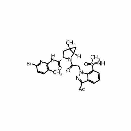 CC(=O)c1nn(CC(=O)N2[C@H]3C[C@@]3(C)C[C@H]2C(=O)Nc2nc(Br)ccc2C)c2c(S(C)(=N)=O)cccc12